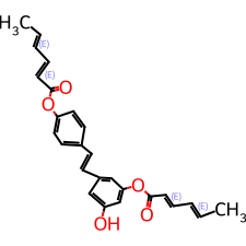 C/C=C/C=C/C(=O)Oc1ccc(C=Cc2cc(O)cc(OC(=O)/C=C/C=C/C)c2)cc1